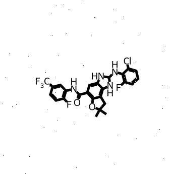 CC1(C)Cc2c3c(cc(C(=O)Nc4cc(C(F)(F)F)ccc4F)c2O1)NC(Nc1c(F)cccc1Cl)N3